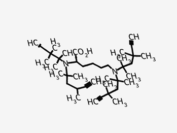 C#CC(C)CC(C)(C)N(C(CCCCN(C(C)(C)CC(C)(C)C#C)C(C)(C)CC(C)(C)C#C)C(=O)O)C(C)(C)C(C)(C)C#C